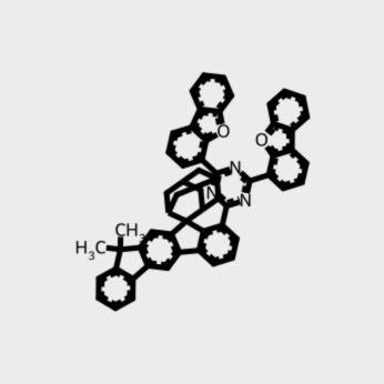 CC1(C)c2ccccc2-c2cc3c(cc21)C1(c2c(-c4nc(-c5cccc6c5oc5ccccc56)nc(-c5cccc6c5oc5ccccc56)n4)cccc2-3)C2CC3CC(C2)CC1C3